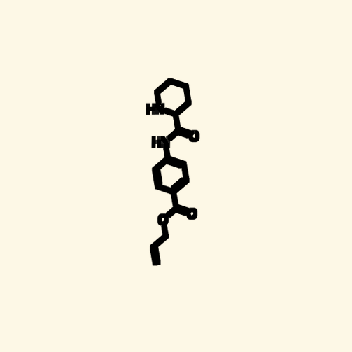 C=CCOC(=O)c1ccc(NC(=O)C2CCCCN2)cc1